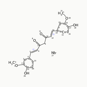 COc1cc(/C=C/C(=O)CC(=O)/C=C/c2ccc(O)c(OC)c2)ccc1O.[Nb]